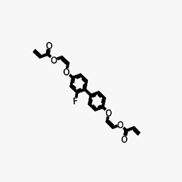 C=CC(=O)O/C=C\Oc1ccc(-c2ccc(O/C=C\OC(=O)C=C)cc2F)cc1